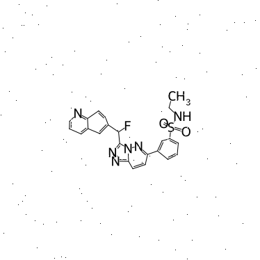 CCNS(=O)(=O)c1cccc(-c2ccc3nnc(C(F)c4ccc5ncccc5c4)n3n2)c1